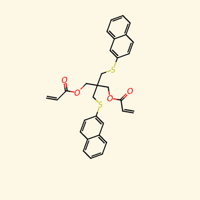 C=CC(=O)OCC(COC(=O)C=C)(CSc1ccc2ccccc2c1)CSc1ccc2ccccc2c1